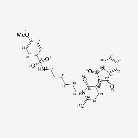 COc1ccc(S(=O)(=O)NCCCCCCN2C(=O)CCC(N3C(=O)c4ccccc4C3=O)C2=O)cc1